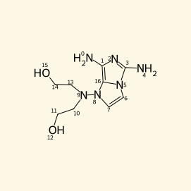 Nc1nc(N)n2ccn(N(CCO)CCO)c12